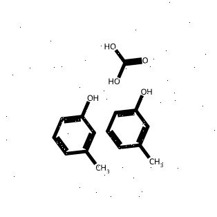 Cc1cccc(O)c1.Cc1cccc(O)c1.O=C(O)O